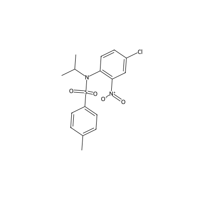 Cc1ccc(S(=O)(=O)N(c2ccc(Cl)cc2[N+](=O)[O-])C(C)C)cc1